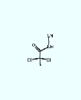 CCC(C)(CC)C(=O)NC#N